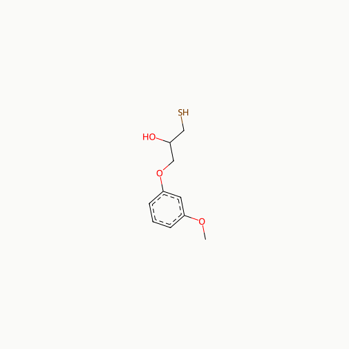 COc1cccc(OCC(O)CS)c1